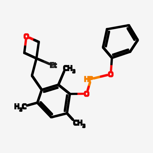 CCC1(Cc2c(C)cc(C)c(OPOc3ccccc3)c2C)COC1